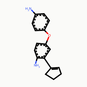 Nc1ccc(Oc2ccc(N)c(C3=CCCC3)c2)cc1